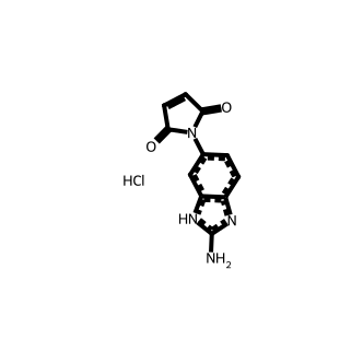 Cl.Nc1nc2ccc(N3C(=O)C=CC3=O)cc2[nH]1